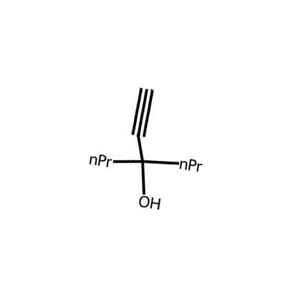 [C]#CC(O)(CCC)CCC